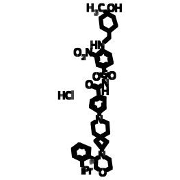 CC(C)c1ccccc1[C@@H]1COCCN1C1CC2(CCN(c3ccc(C(=O)NS(=O)(=O)c4ccc(NCC5CCC(C)(O)CC5)c([N+](=O)[O-])c4)cc3)CC2)C1.Cl